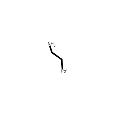 NC[CH2][Pb]